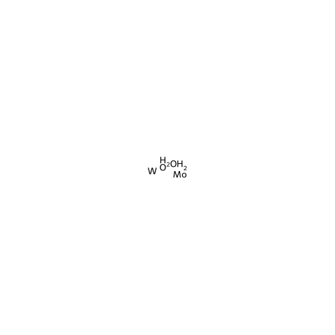 O.O.[Mo].[W]